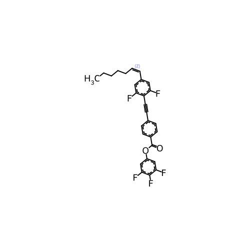 CCCCC/C=C\c1cc(F)c(C#Cc2ccc(C(=O)Oc3cc(F)c(F)c(F)c3)cc2)c(F)c1